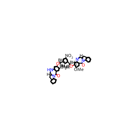 BC(B)(Oc1cc2c(cc1OC)C(=O)N1c3ccccc3C[C@H]1C=N2)c1cc([N+](=O)[O-])cc(C(B)(B)Oc2cc3c(cc2OC)C(=O)N2c4ccccc4C[C@H]2CN3)c1